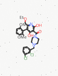 CCOCc1nc(O)c(C(=O)N2CCN(Cc3cccc(Cl)c3Cl)CC2)c(O)c1-c1c(OC)cccc1OC